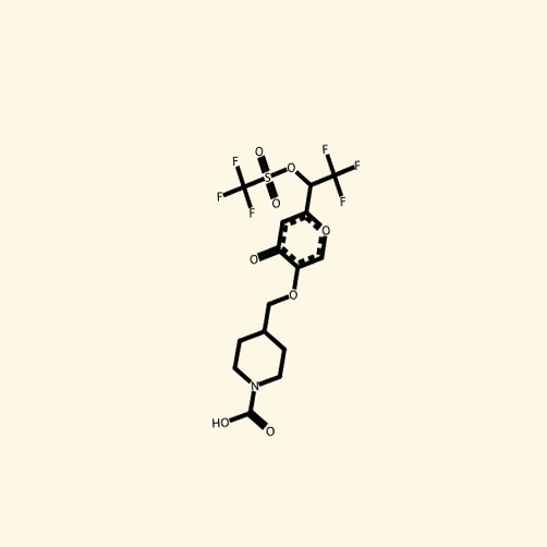 O=C(O)N1CCC(COc2coc(C(OS(=O)(=O)C(F)(F)F)C(F)(F)F)cc2=O)CC1